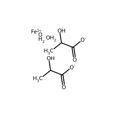 CC(O)C(=O)[O-].CC(O)C(=O)[O-].O.O.[Fe+2]